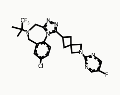 CC(C)(N1Cc2cc(Cl)ccc2-n2c(nnc2C2CC3(C2)CN(c2ncc(F)cn2)C3)C1)C(F)(F)F